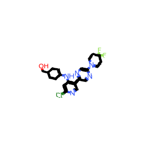 OCC1CCC(Nc2cc(Cl)ncc2-c2cnc(N3CCC(F)(F)CC3)cn2)CC1